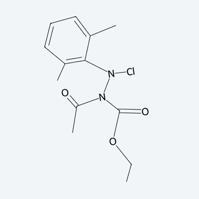 CCOC(=O)N(C(C)=O)N(Cl)c1c(C)cccc1C